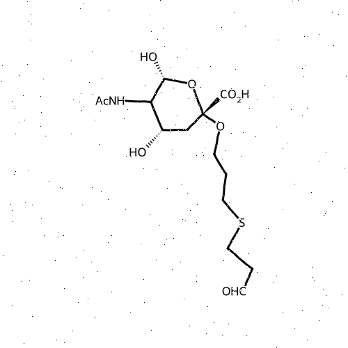 CC(=O)NC1[C@H](O)O[C@@](OCCCSCCC=O)(C(=O)O)C[C@@H]1O